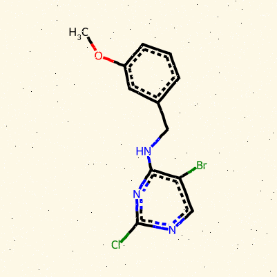 COc1cccc(CNc2nc(Cl)ncc2Br)c1